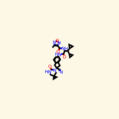 Cc1nonc1C(=O)N[C@H](C(=O)Nc1ccc2c(c1)CC(C#N)(N1CC3(CC3)CNC1=O)C2)C(C1CC1)C1CC1